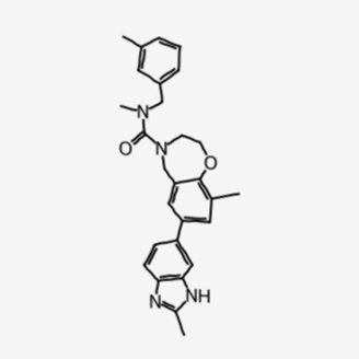 Cc1cccc(CN(C)C(=O)N2CCOc3c(C)cc(-c4ccc5nc(C)[nH]c5c4)cc3C2)c1